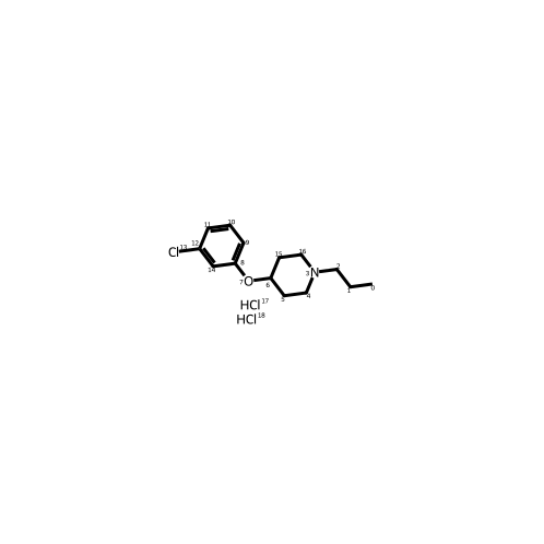 CCCN1CCC(Oc2cccc(Cl)c2)CC1.Cl.Cl